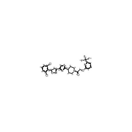 O=C(COc1cccc(C(F)(F)F)n1)N1CCC(c2nc(C3=NOC(c4c(Cl)cccc4Cl)C3)cs2)CC1